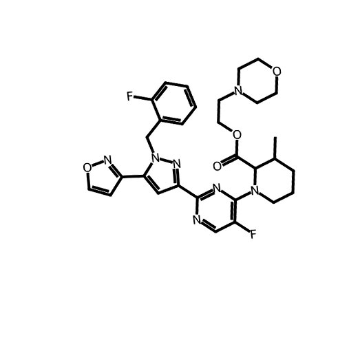 CC1CCCN(c2nc(-c3cc(-c4ccon4)n(Cc4ccccc4F)n3)ncc2F)C1C(=O)OCCN1CCOCC1